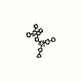 C1=C(c2ccccc2)c2c(c(-c3cccc(C4=NC(c5ccc(-c6ccccc6)cc5)=NC(c5ccc(-c6ccccc6)cc5)N4)c3)cc3c2=CCCC=3)NC1c1ccccc1